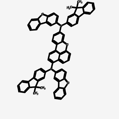 CC1(C)c2ccccc2-c2ccc(N(c3ccc4c(c3)Oc3cccc5c(N(c6ccc7c(c6)C(C)(C)c6ccccc6-7)c6ccc7oc8ccccc8c7c6)ccc-4c35)c3ccc4oc5ccccc5c4c3)cc21